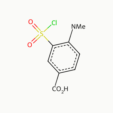 CNc1ccc(C(=O)O)cc1S(=O)(=O)Cl